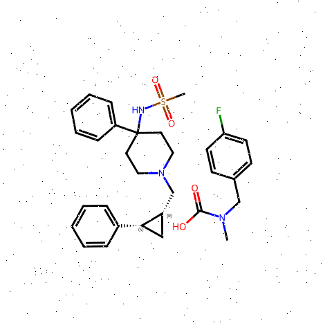 CN(Cc1ccc(F)cc1)C(=O)O.CS(=O)(=O)NC1(c2ccccc2)CCN(C[C@@H]2C[C@@H]2c2ccccc2)CC1